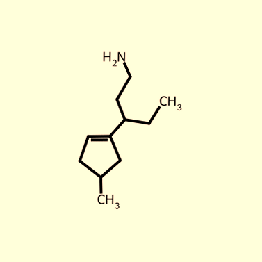 CCC(CCN)C1=CCC(C)C1